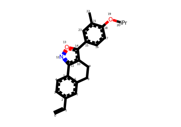 C=Cc1ccc2c(c1)CCc1c-2noc1-c1ccc(OC(C)C)c(C)c1